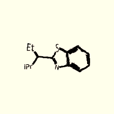 CCC(c1nc2ccccc2s1)C(C)C